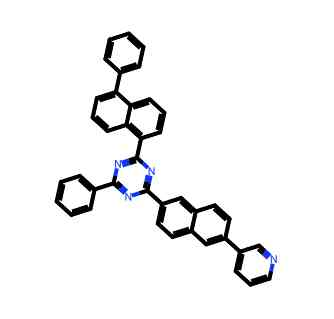 c1ccc(-c2nc(-c3ccc4cc(-c5cccnc5)ccc4c3)nc(-c3cccc4c(-c5ccccc5)cccc34)n2)cc1